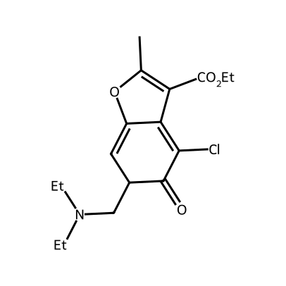 CCOC(=O)c1c(C)oc2c1=C(Cl)C(=O)C(CN(CC)CC)C=2